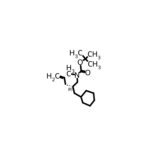 C=CC[C@@H](CC1CCCCC1)CN(C)C(=O)OC(C)(C)C